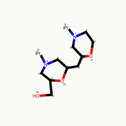 CC(C)N1CCOC(CC2CN(C(C)C)CC(CO)O2)C1